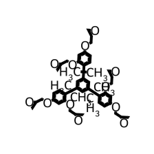 CC(C)(c1cc(C(C)(C)c2ccc(OCC3CO3)cc2OCC2CO2)cc(C(C)(C)c2ccc(OCC3CO3)cc2OCC2CO2)c1)c1ccc(OCC2CO2)cc1OCC1CO1